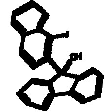 OC1(c2ccc3ccccc3c2I)c2ccccc2-c2ccccc21